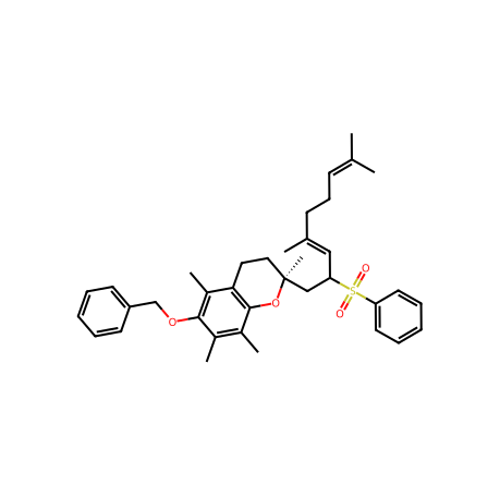 CC(C)=CCC/C(C)=C/C(C[C@]1(C)CCc2c(C)c(OCc3ccccc3)c(C)c(C)c2O1)S(=O)(=O)c1ccccc1